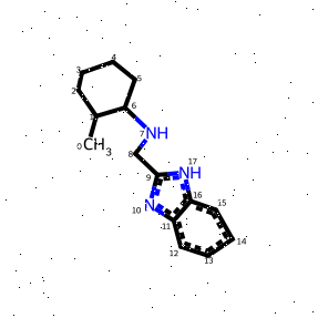 CC1CCCCC1NCc1nc2ccccc2[nH]1